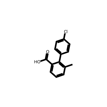 Cc1cccc(C(=O)O)c1-c1ccc(Cl)cc1